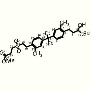 CCC(CC)(c1ccc(CCC(O)C(C)(C)C)c(C)c1)c1ccc(CCS(=O)(=O)CCC(=O)OC)c(C)c1